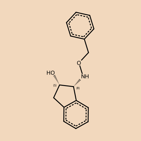 O[C@H]1Cc2ccccc2[C@H]1NOCc1ccccc1